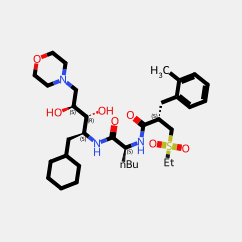 CCCC[C@H](NC(=O)[C@H](Cc1ccccc1C)CS(=O)(=O)CC)C(=O)N[C@@H](CC1CCCCC1)[C@@H](O)[C@@H](O)CN1CCOCC1